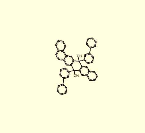 OC1(c2cccc(-c3ccccc3)c2)c2cc3ccccc3cc2C(O)(c2cccc(-c3ccccc3)c2)c2cc3c(ccc4ccccc43)cc21